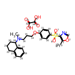 CC(C)c1ocnc1S(=O)(=O)c1ccc(OCCCN(C)C2CCCc3ccccc32)cc1.O=C(O)C(=O)O